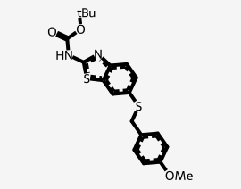 COc1ccc(CSc2ccc3nc(NC(=O)OC(C)(C)C)sc3c2)cc1